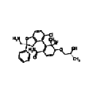 C[C@@H](O)COC1C=CC(C(N)=O)=C(c2c(Cl)ccc3c2C[C@@](CN)(c2ccccc2)O3)C1(C)F